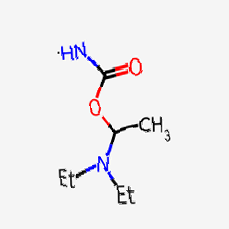 CCN(CC)C(C)OC([NH])=O